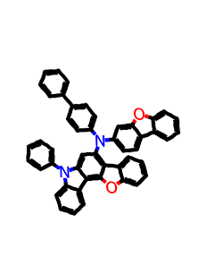 c1ccc(-c2ccc(N(c3ccc4c(c3)oc3ccccc34)c3cc4c(c5ccccc5n4-c4ccccc4)c4oc5ccccc5c34)cc2)cc1